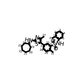 Cc1ccccc1NS(=O)(=O)c1cc(-c2sc(NC3CCCCCC3)nc2C)ccc1C